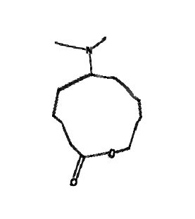 CN(C)C1CCCCOC(=O)CCC1